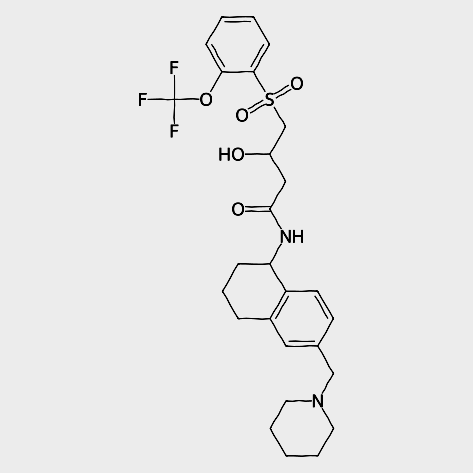 O=C(CC(O)CS(=O)(=O)c1ccccc1OC(F)(F)F)NC1CCCc2cc(CN3CCCCC3)ccc21